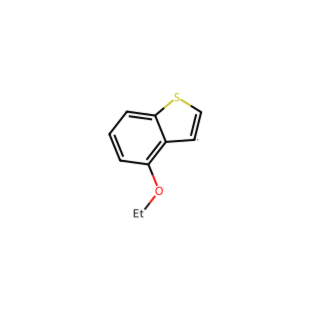 CCOc1cccc2sc[c]c12